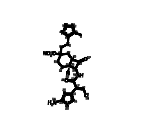 Cn1nnnc1SCC1(C(=O)O)CS[C@@H]2C(NC(=O)C(=CCl)c3cnc(N)s3)C(=O)N2C1